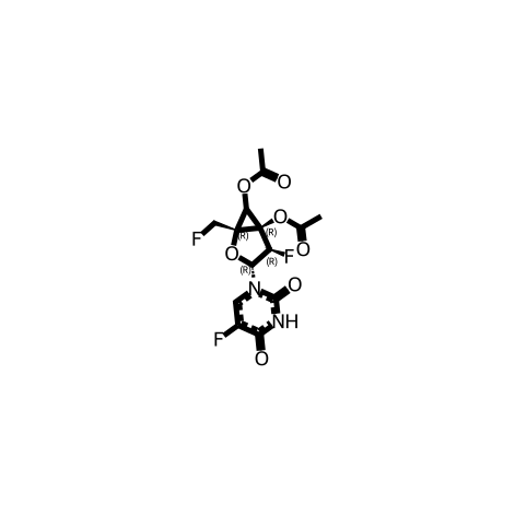 CC(=O)OC1[C@@]2(CF)O[C@@H](n3cc(F)c(=O)[nH]c3=O)[C@H](F)[C@@]12OC(C)=O